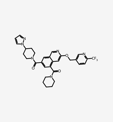 O=C(c1cc(C(=O)N2CCCCC2)c2cc(OCc3ccc(C(F)(F)F)nc3)ncc2c1)N1CCC(n2cccn2)CC1